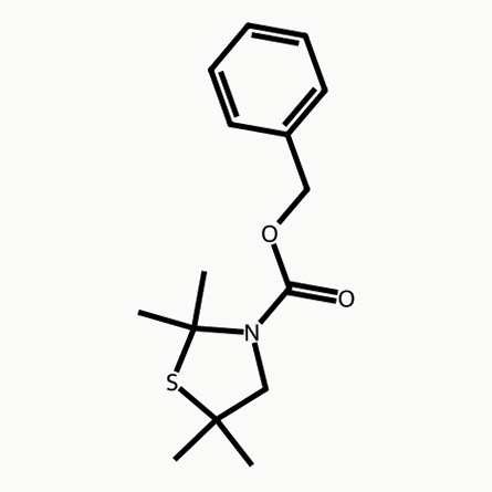 CC1(C)CN(C(=O)OCc2ccccc2)C(C)(C)S1